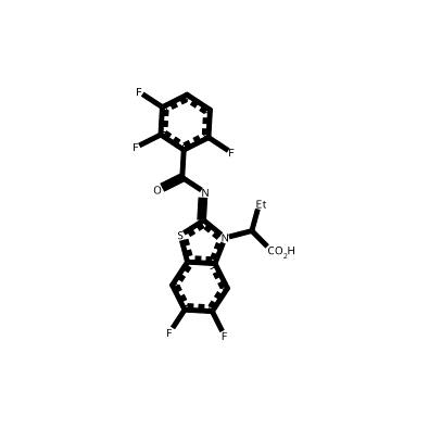 CCC(C(=O)O)n1/c(=N/C(=O)c2c(F)ccc(F)c2F)sc2cc(F)c(F)cc21